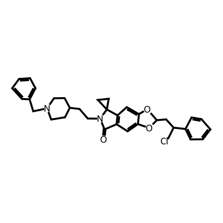 O=C1c2cc3c(cc2C2(CC2)N1CCC1CCN(Cc2ccccc2)CC1)OC(CC(Cl)c1ccccc1)O3